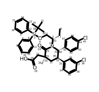 CC[C@@H](CO[Si](c1ccccc1)(c1ccccc1)C(C)(C)C)N1C(=O)[C@](C)(CC(=O)O)C[C@H](c2cccc(Cl)c2)[C@H]1c1ccc(Cl)cc1